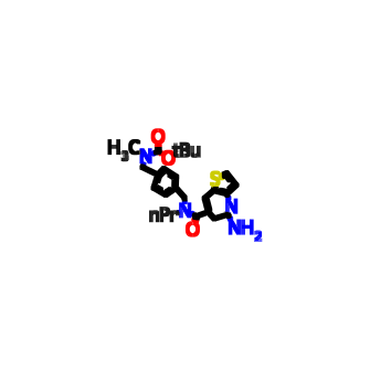 CCCN(Cc1ccc(CN(C)C(=O)OC(C)(C)C)cc1)C(=O)C1=Cc2sccc2N=C(N)C1